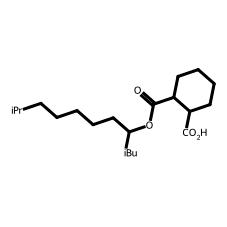 CCC(C)C(CCCCCC(C)C)OC(=O)C1CCCCC1C(=O)O